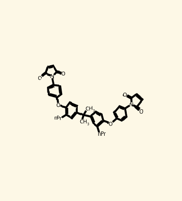 CCCc1cc(C(C)(C)c2ccc(Oc3ccc(N4C(=O)C=CC4=O)cc3)c(CCC)c2)ccc1Oc1ccc(N2C(=O)C=CC2=O)cc1